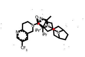 Cc1nnc(C(C)C)n1C1CC2CCC(C1)N2C1CC[C@@](C(=O)N2CCc3ncc(C(F)(F)F)cc3C2)(C(C)C)C1